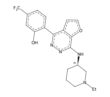 CCN1CCC[C@@H](Nc2nnc(-c3ccc(C(F)(F)F)cc3O)c3ccoc23)C1